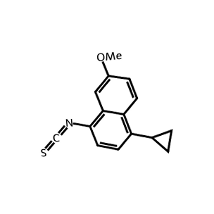 COc1ccc2c(C3CC3)ccc(N=C=S)c2c1